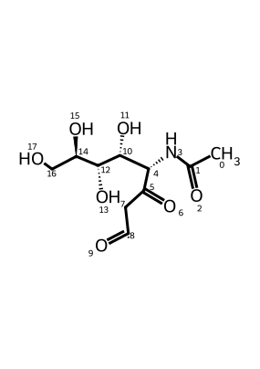 CC(=O)N[C@H](C(=O)C[C]=O)[C@@H](O)[C@H](O)[C@H](O)CO